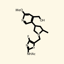 COc1cc(CO)c(C2CC(C)N(Cc3sc(NC(C)=O)nc3F)C2)cn1